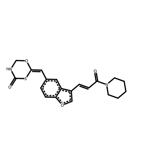 O=C1NCO/C(=C/c2ccc3occ(/C=C/C(=O)N4CCCCC4)c3c2)S1